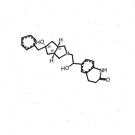 O=C1CCc2cc(C(O)CN3C[C@@H]4C[C@@](O)(Cc5ccccc5)C[C@@H]4C3)ccc2N1